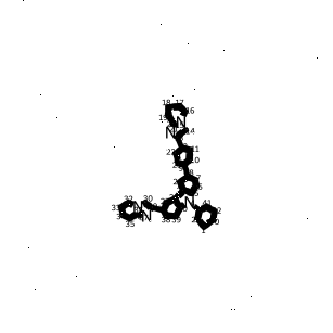 c1ccc(-n2c3ccc(-c4ccc(-c5cn6ccccc6n5)cc4)cc3c3cc(-c4cn5ccccc5n4)ccc32)cc1